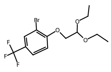 CCOC(COc1ccc(C(F)(F)F)cc1Br)OCC